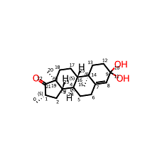 C[C@H]1C[C@H]2[C@@H]3CCC4=CC(O)(O)CC[C@]4(C)[C@H]3CC[C@]2(C)C1=O